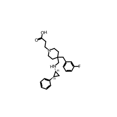 O=C(O)CCN1CCC(CN[C@@H]2C[C@H]2c2ccccc2)(Cc2cccc(F)c2)CC1